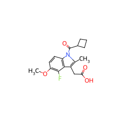 COc1ccc2c(c1F)c(CC(=O)O)c(C)n2C(=O)C1CCC1